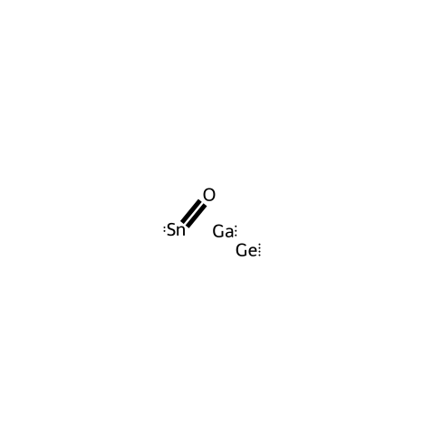 [Ga].[Ge].[O]=[Sn]